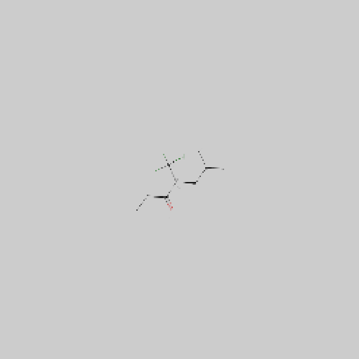 CCC(=O)[C@H](CC(C)C)C(F)(F)F